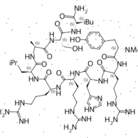 CC[C@H](C)[C@H](NC(=O)[C@H](CO)NC(=O)[C@H](C)NC(=O)[C@H](CC(C)C)NC(=O)[C@H](CCCNC(=N)N)NC(=O)[C@H](CCCNC(=N)N)NC(=O)[C@H](Cc1c[nH]cn1)NC(=O)[C@H](CCCNC(=N)N)NC(=O)[C@H](Cc1ccc(O)cc1)NC)C(N)=O